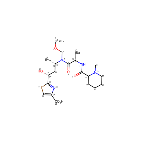 CCCCCOCN(C(=O)[C@@H](NC(=O)C1CCCCN1C)C(C)CC)[C@H](C[C@@H](O)c1nc(C(=O)O)cs1)C(C)C